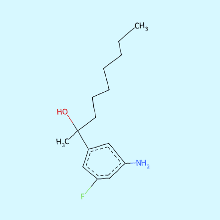 CCCCCCCC(C)(O)c1cc(N)cc(F)c1